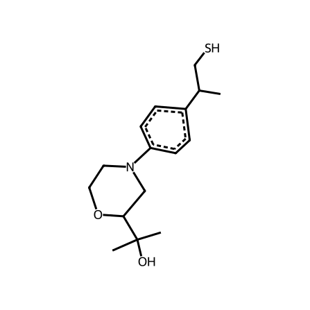 CC(CS)c1ccc(N2CCOC(C(C)(C)O)C2)cc1